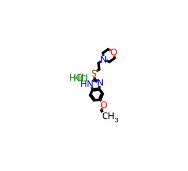 CCOc1ccc2[nH]c(SCCN3CCOCC3)nc2c1.Cl.Cl